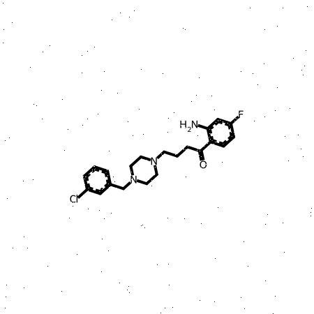 Nc1cc(F)ccc1C(=O)CCCN1CCN(Cc2cccc(Cl)c2)CC1